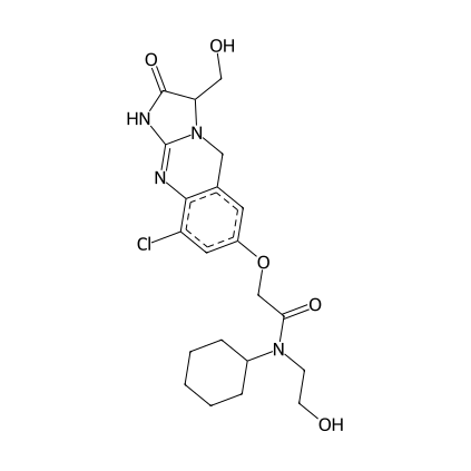 O=C1NC2=Nc3c(Cl)cc(OCC(=O)N(CCO)C4CCCCC4)cc3CN2C1CO